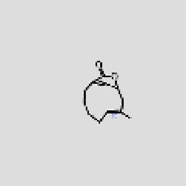 C/C1=C\CCCCC2=CC(C1)OC2=O